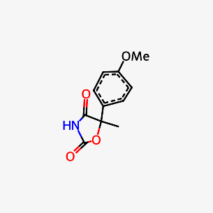 COc1ccc(C2(C)OC(=O)NC2=O)cc1